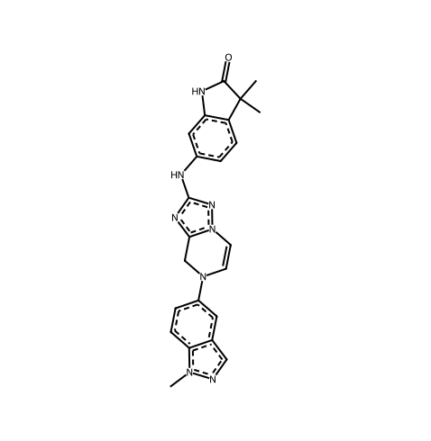 Cn1ncc2cc(N3C=Cn4nc(Nc5ccc6c(c5)NC(=O)C6(C)C)nc4C3)ccc21